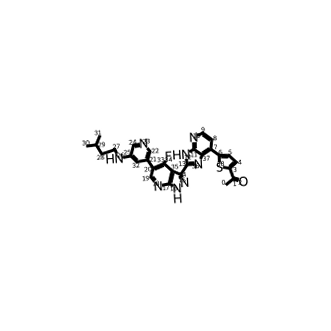 CC(=O)c1ccc(-c2ccnc3[nH]c(-c4n[nH]c5ncc(-c6cncc(NCCC(C)C)c6)c(F)c45)nc23)s1